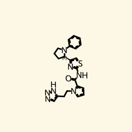 O=C(Nc1nc([C@H]2CCCN2c2ccccc2)cs1)c1cccn1CCc1cnn[nH]1